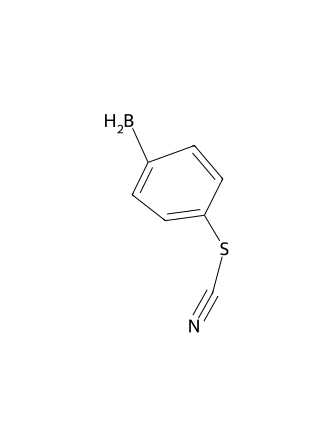 Bc1ccc(SC#N)cc1